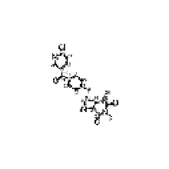 Cn1c(=O)c2ncn(Cc3ccc(C(=O)c4ccc(Cl)nc4)cc3)c2n(C)c1=O